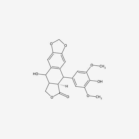 COc1cc(C2c3cc4c(cc3C(O)C3COC(=O)[C@H]23)OCO4)cc(OC)c1O